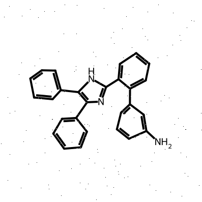 Nc1cccc(-c2ccccc2-c2nc(-c3ccccc3)c(-c3ccccc3)[nH]2)c1